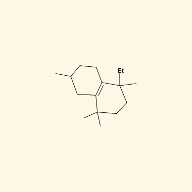 CCC1(C)CCC(C)(C)C2=C1CCC(C)C2